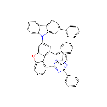 c1ccc(-c2ccc3c4ccccc4n(-c4cc(-c5ccccc5)c5c(c4)oc4cccc(-c6nc(-c7ccccc7)nc(-c7ccccc7)n6)c45)c3c2)cc1